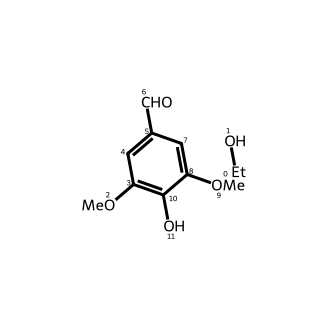 CCO.COc1cc(C=O)cc(OC)c1O